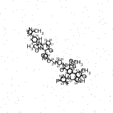 Cc1ncsc1-c1ccc([C@]2(C)NC([C@@H]3CCCN3C(=O)Cc3cc(OCCN4CC[C@H](NC(=O)c5cc6c(cc5CS(C)(=O)=O)-c5cn(C)c(=O)c7[nH]cc(c57)CN6c5ncc(F)cc5F)C4)no3)=NC2=O)cc1